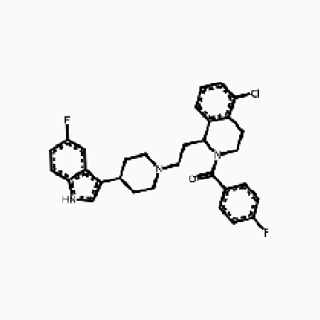 O=C(c1ccc(F)cc1)N1CCc2c(Cl)cccc2C1CCN1CCC(c2c[nH]c3ccc(F)cc23)CC1